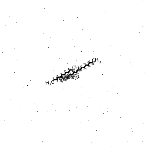 CCCCCCCC.CCCCCCCCCC.CCCCCCCCCCCC.CCCCCCCCCCCCCC